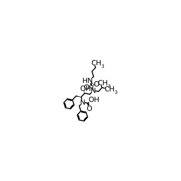 CCCCNS(=O)(=O)N(CC(C)C)C[C@@H](O)[C@H](Cc1ccccc1)N(Cc1ccccc1)C(=O)O